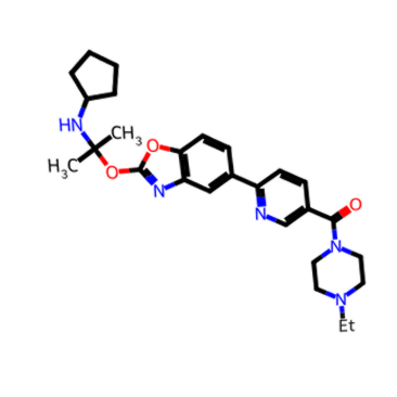 CCN1CCN(C(=O)c2ccc(-c3ccc4oc(OC(C)(C)NC5CCCC5)nc4c3)nc2)CC1